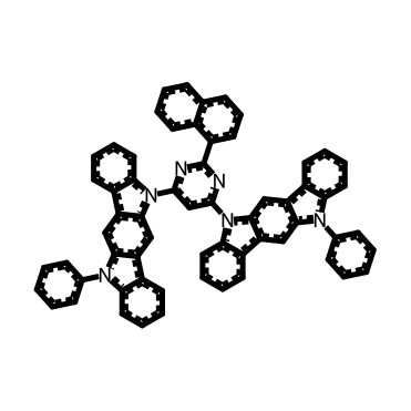 c1ccc(-n2c3ccccc3c3cc4c(cc32)c2ccccc2n4-c2cc(-n3c4ccccc4c4cc5c(cc43)c3ccccc3n5-c3ccccc3)nc(-c3cccc4ccccc34)n2)cc1